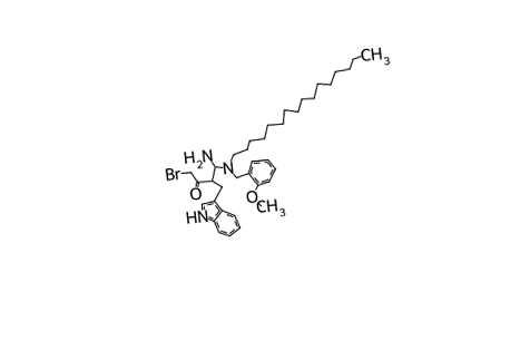 CCCCCCCCCCCCCCCCN(Cc1ccccc1OC)C(N)C(Cc1c[nH]c2ccccc12)C(=O)CBr